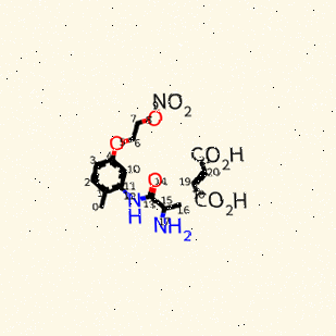 Cc1ccc(OCCO[N+](=O)[O-])cc1NC(=O)C(C)N.O=C(O)C=CC(=O)O